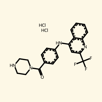 Cl.Cl.O=C(c1ccc(Nc2cc(C(F)(F)F)nc3ccccc23)cc1)N1CCNCC1